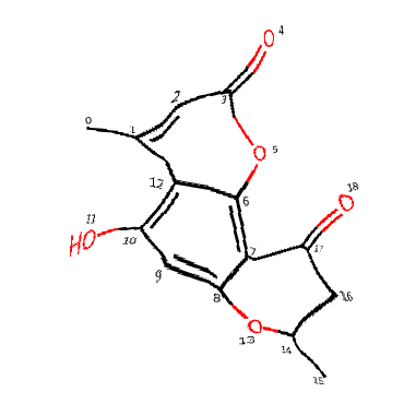 Cc1cc(=O)oc2c3c(cc(O)c12)OC(C)CC3=O